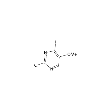 COc1cnc(Cl)nc1I